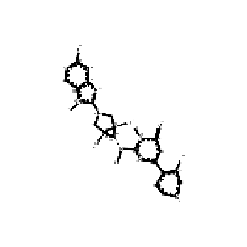 CN(c1nc(-c2ccncc2F)cc(=O)n1C)[C@@H]1[C@@H]2CN(c3nc4cc(F)ccc4n3C)C[C@@H]21